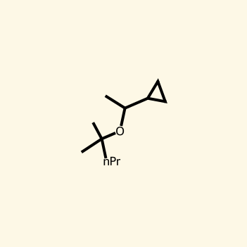 [CH2]CCC(C)(C)OC(C)C1CC1